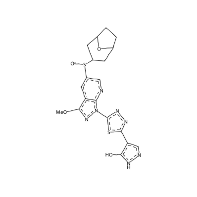 COc1nn(-c2nnc(-c3cn[nH]c3O)s2)c2ncc([S+]([O-])C3CC4CCC(C3)O4)cc12